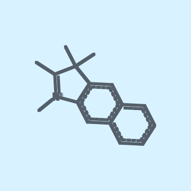 CC1=[N+](C)c2cc3ccccc3cc2C1(C)C